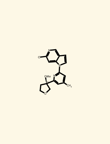 CO[C@]1(c2cc(C)cc(-n3ccc4cnc(Cl)cc43)n2)CCOC1